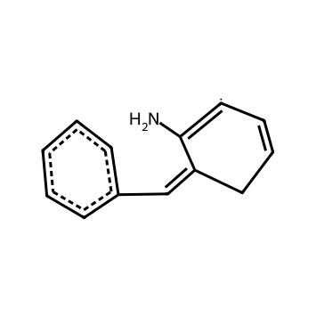 NC1=[C]C=CCC1=Cc1ccccc1